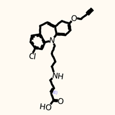 C#CCOC1=CC=C2C(=CCc3ccc(Cl)cc3N2CCCCNC/C=C/C(=O)O)C1